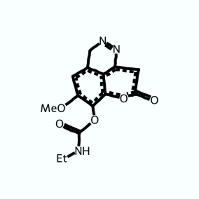 CCNC(=O)Oc1c(OC)cc2c3c(cc(=O)oc13)N=NC2